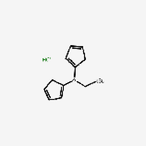 CC(C)(C)[CH2][Zr]([C]1=CC=CC1)[C]1=CC=CC1.Cl